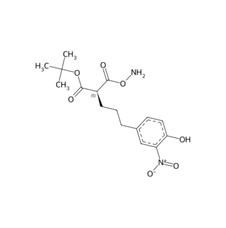 CC(C)(C)OC(=O)[C@H](CCCc1ccc(O)c([N+](=O)[O-])c1)C(=O)ON